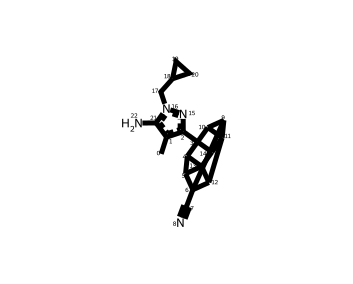 Cc1c(C23C4C5C6(C#N)C7C2C72C6C54C32)nn(CC2CC2)c1N